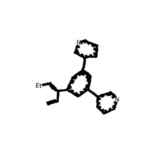 C=C/C(=C\CC)c1cc(-c2cccnc2)cc(-c2cccnc2)c1